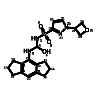 O=S(=O)(NC(O)Nc1c2c(cc3c1CCC3)CCC2)c1ccn(C2COC2)n1